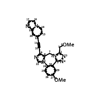 COCc1nnc2n1Cc1c(C#Cc3ccn4ccnc4c3)ncn1-c1ccc(OC)cc1-2